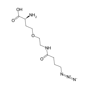 [N-]=[N+]=NCCCC(=O)NCCOCC[C@H](N)C(=O)O